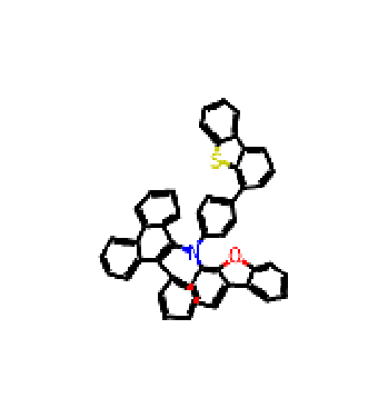 c1ccc(-c2c(N(c3ccc(-c4cccc5c4sc4ccccc45)cc3)c3cccc4c3oc3ccccc34)c3ccccc3c3ccccc23)cc1